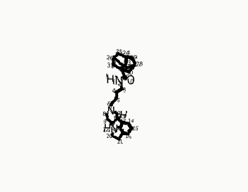 O=C(NCCCCN1CC[C@@H]2[C@H](C1)c1cccc3c1N2CC3)C12CC3CC(CC(C3)C1)C2